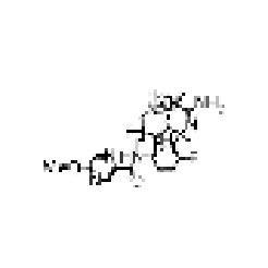 COc1cnc(C(=O)Nc2ccc(F)c([C@@]3(C)N=C(N)C(C)(C)S4(O)NCC(F)(F)C[C@H]34)n2)cn1